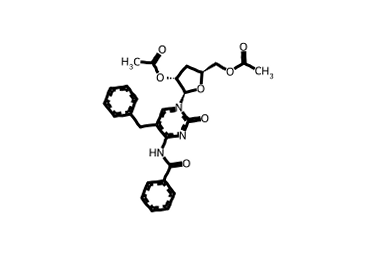 CC(=O)OC[C@@H]1C[C@@H](OC(C)=O)[C@H](n2cc(Cc3ccccc3)c(NC(=O)c3ccccc3)nc2=O)O1